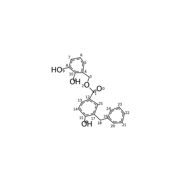 O=C(OCc1cccc(O)c1O)c1ccc(O)c(Cc2ccccc2)c1